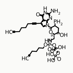 C#CCCCCC#Cc1cn([C@@H]2O[C@H](CN[PH](O)(OCCCCC#C)OP(=O)(O)OP(=O)(O)O)[C@H](O)CC2P)c2nc(N)[nH]c(=O)c12